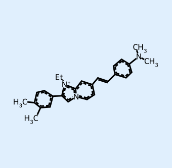 CC[n+]1c(-c2ccc(C)c(C)c2)cn2ccc(/C=C/c3ccc(N(C)C)cc3)cc21